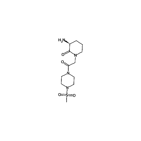 CS(=O)(=O)N1CCN(C(=O)CN2CCC[C@H](N)C2=O)CC1